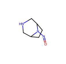 O=NN1C2CCC1CNC2